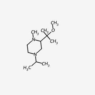 COC(C)(C)C1CN(C(C)C)CCN1C